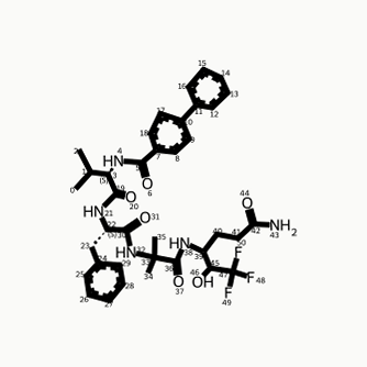 CC(C)[C@H](NC(=O)c1ccc(-c2ccccc2)cc1)C(=O)N[C@@H](Cc1ccccc1)C(=O)NC(C)(C)C(=O)NC(CCC(N)=O)C(O)C(F)(F)F